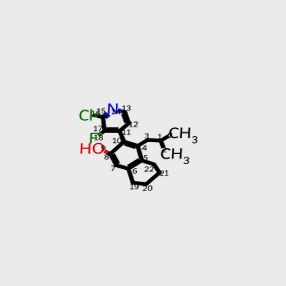 CC(C)Cc1c2c(cc(O)c1-c1ccnc(Cl)c1F)CCCC2